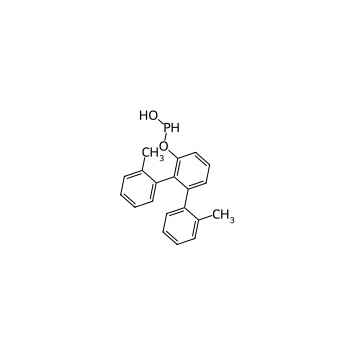 Cc1ccccc1-c1cccc(OPO)c1-c1ccccc1C